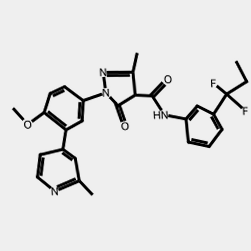 CCC(F)(F)c1cccc(NC(=O)C2C(=O)N(c3ccc(OC)c(-c4ccnc(C)c4)c3)N=C2C)c1